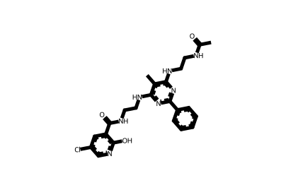 CC(=O)NCCNc1nc(-c2ccccc2)nc(NCCNC(=O)c2cc(Cl)cnc2O)c1C